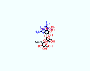 CN[C@@H]1[C@H](O[C@H]2[C@H](O[C@H]3[C@H](O)[C@@H](OP(=O)(O)O)[C@H](N=C(N)N)[C@@H](O)[C@@H]3N=C(N)N)O[C@@H](C)[C@]2(O)CO)O[C@@H](CO)[C@H](O)[C@H]1O